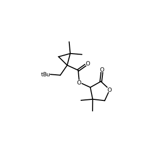 CC(C)(C)CC1(C(=O)OC2C(=O)OCC2(C)C)CC1(C)C